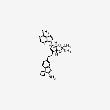 CC1(C)O[C@@H]2[C@H](O1)C(CCc1ccc3c(c1)N=C(N)C31CCC1)=C[C@H]2n1ccc2c(N)ncnc21